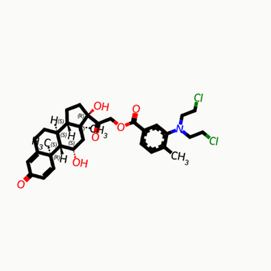 Cc1ccc(C(=O)OCC(=O)[C@@]2(O)CC[C@H]3[C@@H]4CCC5=CC(=O)C=C[C@]5(C)[C@H]4[C@@H](O)C[C@@]32C)cc1N(CCCl)CCCl